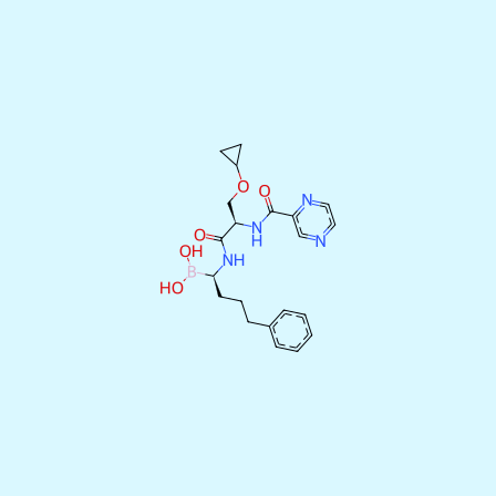 O=C(N[C@H](COC1CC1)C(=O)N[C@@H](CCCc1ccccc1)B(O)O)c1cnccn1